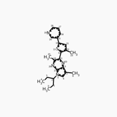 CCC(CC)n1cc(C)c2nc(-c3sc(-c4cccnc4)cc3C)c(C)nc21